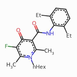 CCCCCCn1c(C)c(F)c(=O)c(C(=O)Nc2c(CC)cccc2CC)c1C